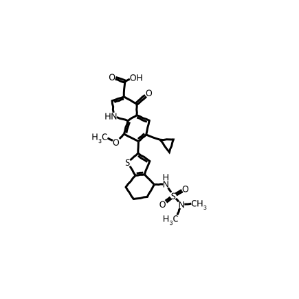 COc1c(-c2cc3c(s2)CCCC3NS(=O)(=O)N(C)C)c(C2CC2)cc2c(=O)c(C(=O)O)c[nH]c12